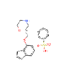 C1=Cc2cccc(OC[C@H]3CNCCO3)c2C1.O=S(=O)(O)c1ccccc1